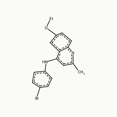 CCOc1ccc2nc(C)cc(Nc3ccc(Br)cc3)c2c1